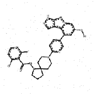 CCOc1cc(-c2ccc(N3CCC4(CCCN4NC(=O)c4c(F)cccc4Cl)CC3)nc2)c2c3cn[nH]c3nn2c1